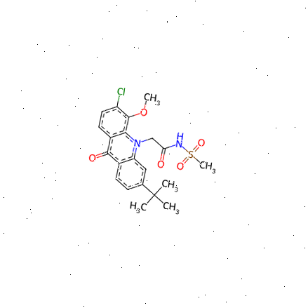 COc1c(Cl)ccc2c(=O)c3ccc(C(C)(C)C)cc3n(CC(=O)NS(C)(=O)=O)c12